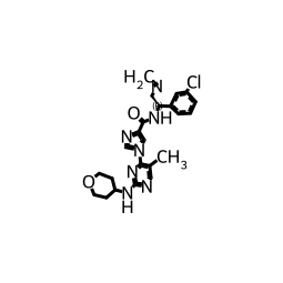 C=NC[C@H](NC(=O)c1cn(-c2nc(NC3CCOCC3)ncc2C)cn1)c1cccc(Cl)c1